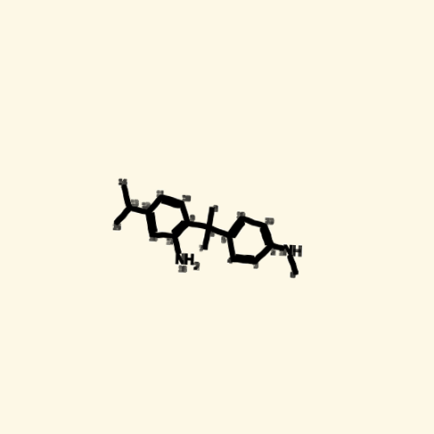 CNc1ccc(C(C)(C)c2ccc(C(C)C)cc2N)cc1